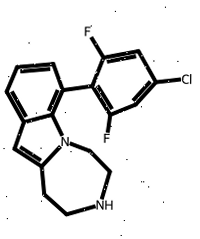 Fc1cc(Cl)cc(F)c1-c1cccc2cc3n(c12)CCNCC3